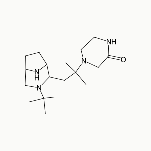 CC(C)(C)N1CC2CCC(N2)C1CC(C)(C)N1CCNC(=O)C1